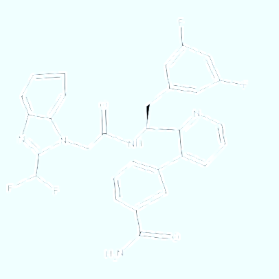 NC(=O)c1cccc(-c2cccnc2[C@H](Cc2cc(F)cc(F)c2)NC(=O)Cn2c(C(F)F)nc3ccccc32)c1